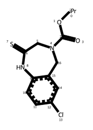 CC(C)OC(=O)N1CC(=S)Nc2ccc(Cl)cc2C1